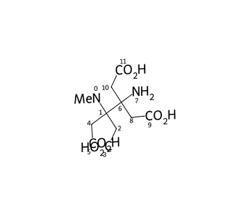 CNC(CC(=O)O)(CC(=O)O)C(N)(CC(=O)O)CC(=O)O